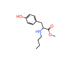 CCCCNC(Cc1ccc(O)cc1)C(=O)OC